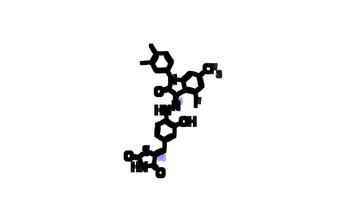 Cc1ccc(N2C(=O)/C(=N\Nc3ccc(/C=C4\SC(=O)NC4=O)cc3O)c3c(F)cc(C(F)(F)F)cc32)cc1C